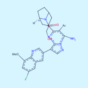 COc1cc(F)cc2cc(-c3cnn4c(N)c(C(C)=O)c(C5CC6CC[C@H](C5)N6C(=O)CO)nc34)cnc12